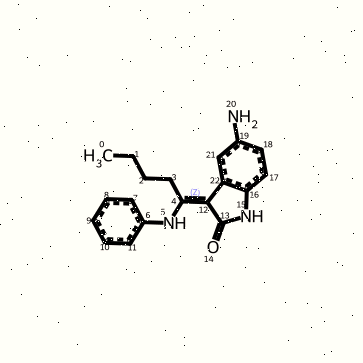 CCCC/C(Nc1ccccc1)=C1/C(=O)Nc2ccc(N)cc21